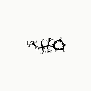 CC(C)C(c1ccccc1)(C(C)C)C(C)(C)O[SiH3]